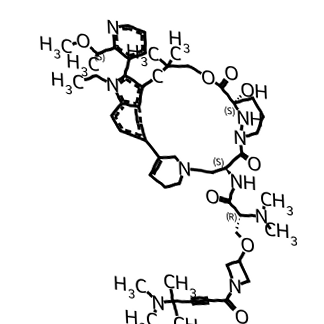 CCn1c(-c2cccnc2[C@H](C)OC)c2c3cc(ccc31)C1=CCCN(C1)C[C@H](NC(=O)[C@@H](COC1CN(C(=O)C#CC(C)(C)N(C)C)C1)N(C)C)C(=O)N1CCC[C@@](O)(N1)C(=O)OCC(C)(C)C2